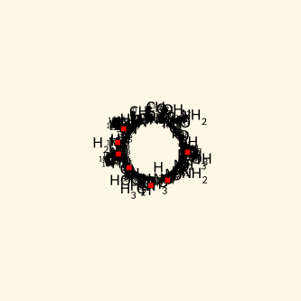 CCCC[C@H]1C(=O)N(C)[C@@H](CCCC)C(=O)N[C@@H](CCC(=O)O)C(=O)N[C@H](C(=O)NCC(N)=O)CSCC(=O)N[C@@H](Cc2ccc(O)cc2)C(=O)N(C)[C@@H](C)C(=O)N[C@@H](CC(N)=O)C(=O)N2CCC[C@H]2C(=O)N[C@@H](CN)C(=O)N[C@@H](CC(C)C)C(=O)N2C[C@H](O)C[C@H]2C(=O)N[C@@H](Cc2c[nH]c3ccccc23)C(=O)N[C@@H](CCN)C(=O)N[C@@H](Cc2c[nH]c3ccccc23)C(=O)N1C